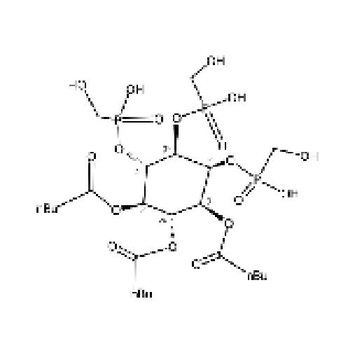 CCCCC(=O)O[C@@H]1[C@@H](OC(=O)CCCC)[C@H](OP(=O)(O)CO)[C@@H](OP(=O)(O)CO)[C@@H](OP(=O)(O)CO)[C@H]1OC(=O)CCCC